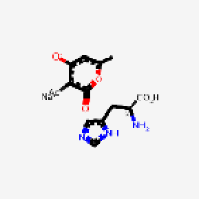 CC(=O)c1c([O-])cc(C)oc1=O.N[C@@H](Cc1cnc[nH]1)C(=O)O.[Na+]